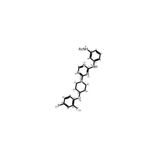 CC(=O)Nc1cccc(Nc2ncnc(N3CCC(Oc4ccc(F)cc4F)CC3)n2)c1